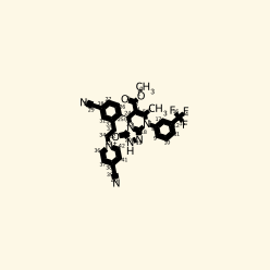 COC(=O)C1=C(C)N(c2cccc(C(F)(F)F)c2)c2n[nH]c(=O)n2[C@@H]1c1ccc(C#N)cc1CC[n+]1ccc(C#N)cc1